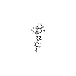 N#Cc1ccc(-n2cc(CN3CC(=O)c4ccccc4C34CCCCC4)nn2)cc1